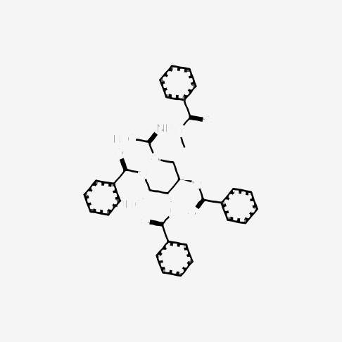 CC(=N)O[C@H](COC(=O)c1ccccc1)[C@@H](OC(=O)c1ccccc1)[C@H](OC(=O)c1ccccc1)[C@H](C=O)OC(=O)c1ccccc1